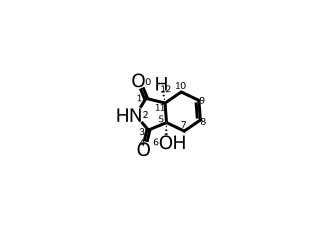 O=C1NC(=O)[C@]2(O)CC=CC[C@H]12